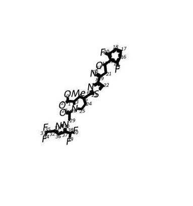 COC(=O)C1CC(c2nc(C3=NOC(c4c(F)cccc4F)C3)cs2)CCN1C(=O)Cn1nc(C(F)F)cc1C(F)F